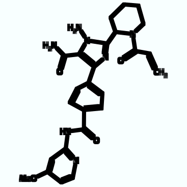 C=CC(=O)N1CCCCC1c1nc(-c2ccc(C(=O)Nc3cc(OC)ccn3)cc2)c(C(N)=O)n1N